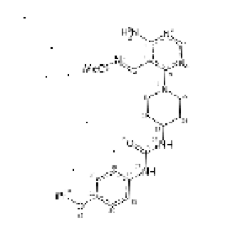 CON=Cc1c(N)ncnc1N1CCC(NC(=O)Nc2ccc(OC(C)C)cc2)CC1